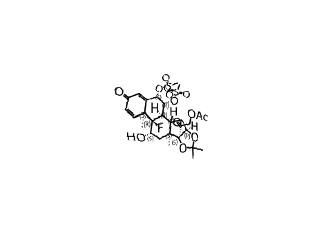 CC(=O)OCC(=O)[C@@]12OC(C)(C)O[C@@H]1C[C@H]1[C@@H]3[C@@H](OS(C)(=O)=O)[C@@H](OS(C)(=O)=O)C4=CC(=O)C=C[C@]4(C)[C@@]3(F)[C@@H](O)C[C@@]12C